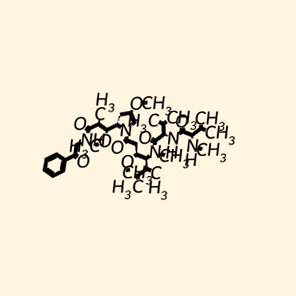 CCC(C)[C@@H]([C@H](CC(=O)N1C[C@H](OC)C[C@H]1[C@H](OC)[C@@H](C)C(=O)NCC(=O)c1ccccc1)OC)N(C)C(=O)[C@@H](NC(=O)[C@@H](NC)C(C)C)C(C)C